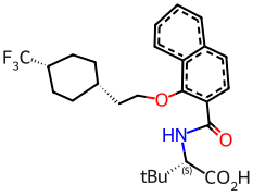 CC(C)(C)[C@H](NC(=O)c1ccc2ccccc2c1OCC[C@H]1CC[C@@H](C(F)(F)F)CC1)C(=O)O